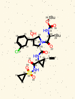 C=C[C@@H]1C[C@]1(NC(=O)[C@@H]1C[C@@](O)(C2C=CC=C(Cl)C2)CN1C(=O)[C@@H](NC(=O)OC(C)(C)C)C(C)(C)C)C(=O)NS(=O)(=O)C1CC1